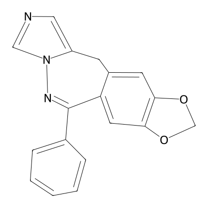 c1ccc(C2=Nn3cncc3Cc3cc4c(cc32)OCO4)cc1